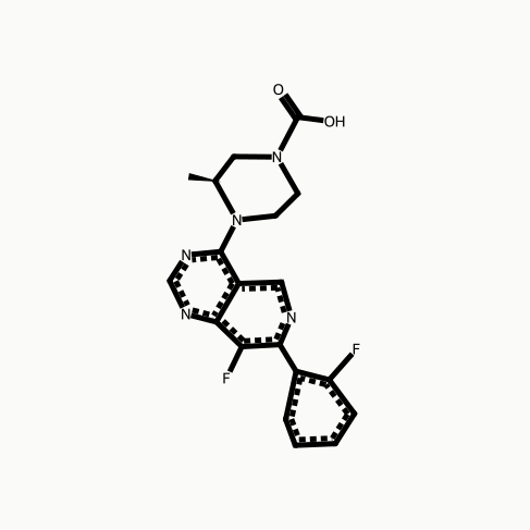 C[C@H]1CN(C(=O)O)CCN1c1ncnc2c(F)c(-c3ccccc3F)ncc12